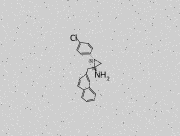 N[C@]1(Cc2ccc3ccccc3c2)C[C@H]1c1ccc(Cl)cc1